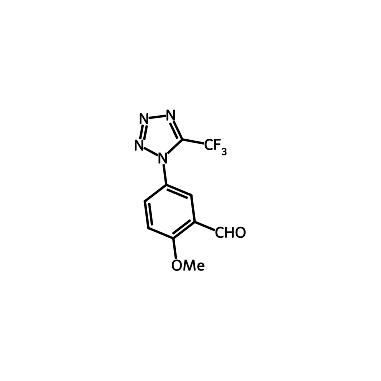 COc1ccc(-n2nnnc2C(F)(F)F)cc1C=O